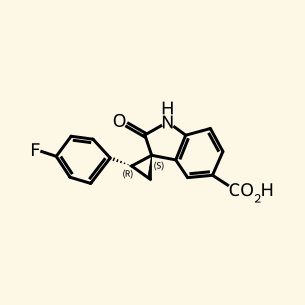 O=C(O)c1ccc2c(c1)[C@@]1(C[C@@H]1c1ccc(F)cc1)C(=O)N2